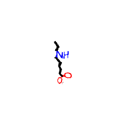 CCCNCCCCCC(=O)OC